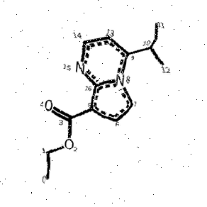 CCOC(=O)c1ccn2c(C(C)C)ccnc12